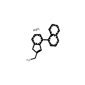 CCC1=Cc2c(cccc2-c2cccc3ccccc23)[CH]1.[MgH2]